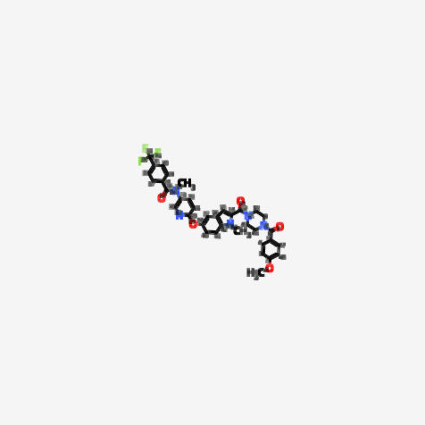 COc1ccc(C(=O)N2CCN(C(=O)c3cc4cc(Oc5ccc(N(C)C(=O)c6ccc(C(F)(F)F)cc6)cn5)ccc4n3C)CC2)cc1